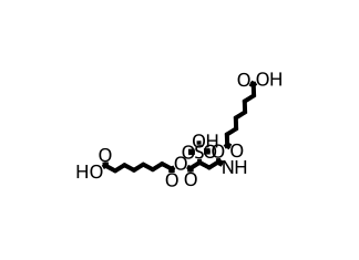 N=C(CC(C(=O)OC(=O)CCCCCCC(=O)O)S(=O)(=O)O)OC(=O)CCCCCCC(=O)O